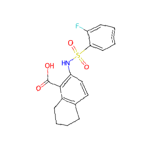 O=C(O)c1c(NS(=O)(=O)c2ccccc2F)ccc2c1CCCC2